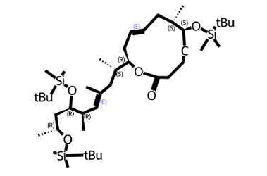 C/C(=C\[C@@H](C)[C@@H](C[C@@H](C)O[Si](C)(C)C(C)(C)C)O[Si](C)(C)C(C)(C)C)C[C@H](C)[C@H]1C/C=C/C[C@H](C)[C@@H](O[Si](C)(C)C(C)(C)C)CCCC(=O)O1